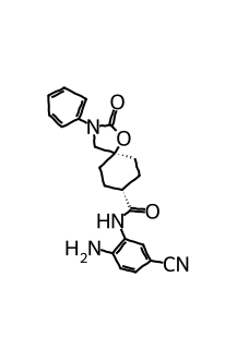 N#Cc1ccc(N)c(NC(=O)[C@H]2CC[C@]3(CC2)CN(c2ccccc2)C(=O)O3)c1